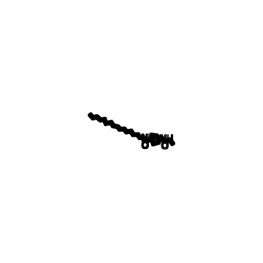 CCCCCCCCCCCCCCCCNC(=O)c1ccc(NC(=O)CC)cc1